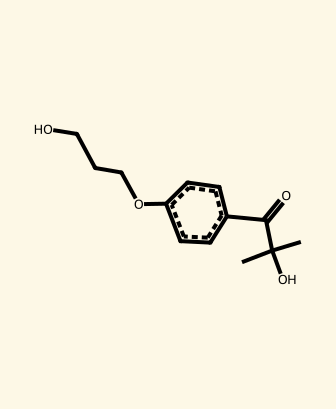 CC(C)(O)C(=O)c1ccc(OCCCO)cc1